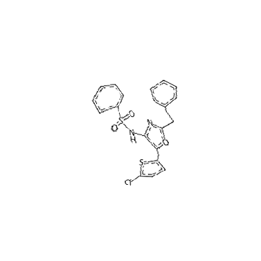 O=S(=O)(Nc1nc(Cc2ccccc2)oc1-c1ccc(Cl)s1)c1ccccc1